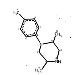 CC1CN(c2ccc(C(F)(F)F)cc2)C(C)CN1